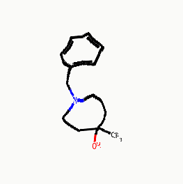 OC1(C(F)(F)F)CCN(Cc2ccccc2)CC1